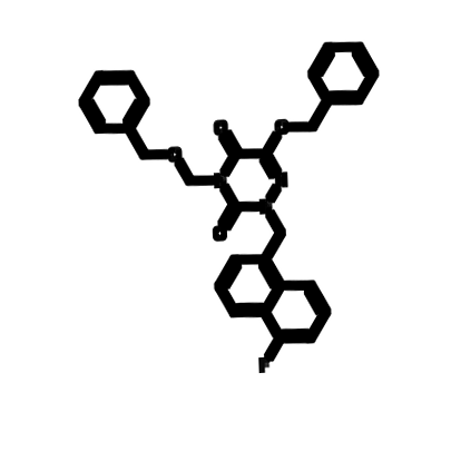 O=c1c(OCc2ccccc2)nn(Cc2cccc3c(F)cccc23)c(=O)n1COCc1ccccc1